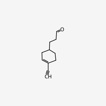 C#CC1=CCC(CCC=O)CC1